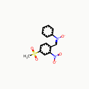 CS(=O)(=O)c1ccc(/C=[N+](/[O-])c2ccccc2)c([N+](=O)[O-])c1